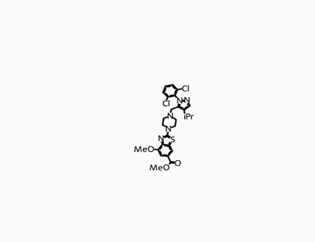 COC(=O)c1cc(OC)c2nc(N3CCN(Cc4c(C(C)C)cnn4-c4c(Cl)cccc4Cl)CC3)sc2c1